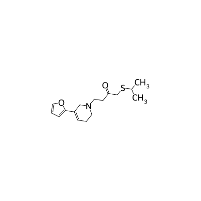 CC(C)SCC(=O)CCN1CCC=C(c2ccco2)C1